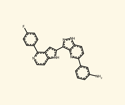 Nc1cccc(-c2ccc3[nH]nc(-c4cc5c(-c6ccc(F)cc6)nccc5[nH]4)c3n2)c1